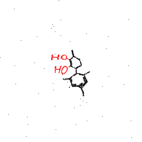 C=C1CC=C(c2c(C)[c]c(C)cc2C)C(O)=C1O